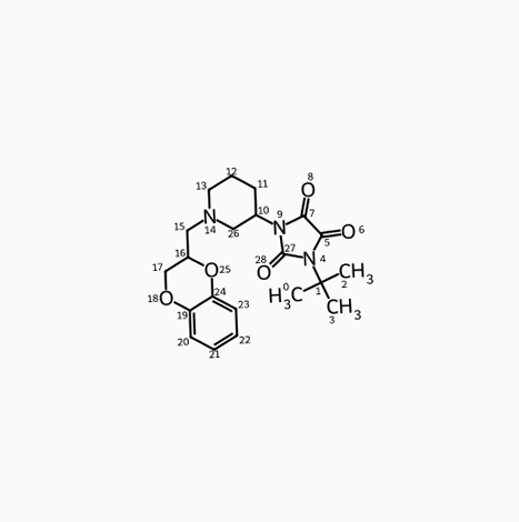 CC(C)(C)N1C(=O)C(=O)N(C2CCCN(CC3COc4ccccc4O3)C2)C1=O